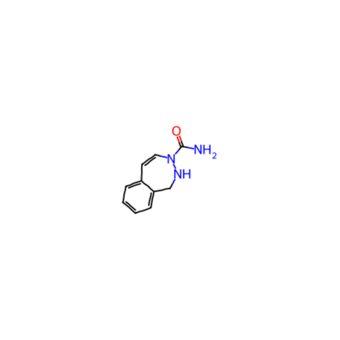 NC(=O)N1C=Cc2ccccc2CN1